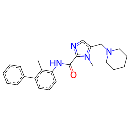 Cc1c(NC(=O)c2ncc(CN3CCCCC3)n2C)cccc1-c1ccccc1